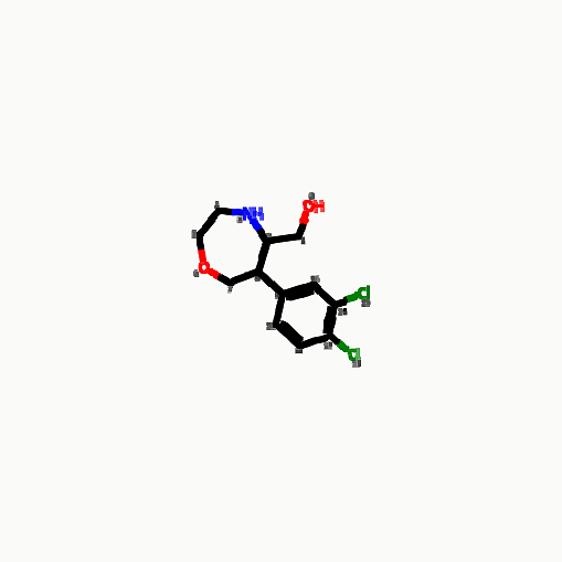 OCC1NCCOCC1c1ccc(Cl)c(Cl)c1